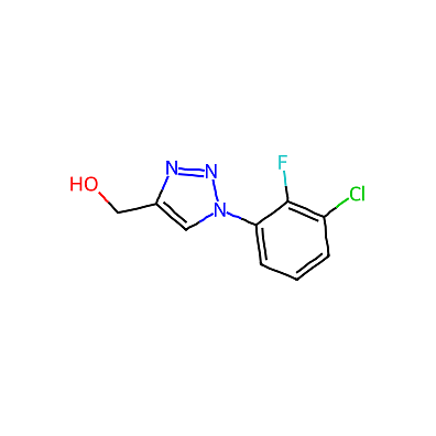 OCc1cn(-c2cccc(Cl)c2F)nn1